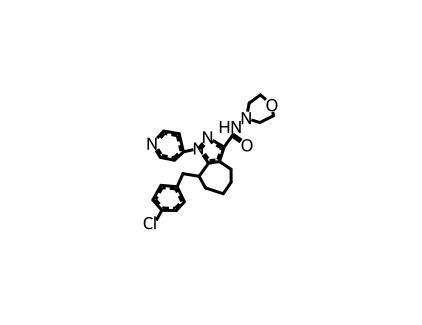 O=C(NN1CCOCC1)c1nn(-c2ccncc2)c2c1CCCCC2Cc1ccc(Cl)cc1